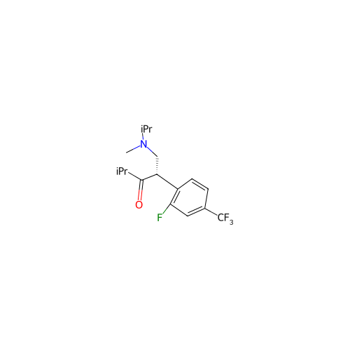 CC(C)C(=O)[C@H](CN(C)C(C)C)c1ccc(C(F)(F)F)cc1F